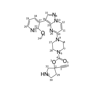 C#CC1(OC(=O)N2CCN(c3ccn4ncc(-c5cccnc5OC)c4n3)CC2)CCNC1